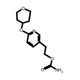 NC(=O)OC[CH]c1ccc(OC2CCOCC2)nc1